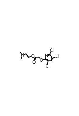 CN(C)CCOC(=O)COc1nc(Cl)c(Cl)cc1Cl